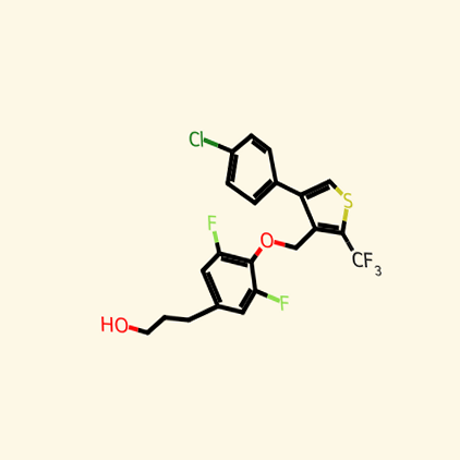 OCCCc1cc(F)c(OCc2c(-c3ccc(Cl)cc3)csc2C(F)(F)F)c(F)c1